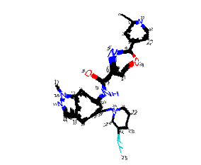 Cc1cc(-c2nc(C(=O)Nc3cc4c(cnn4C)cc3N3CCCC(F)C3)co2)ccn1